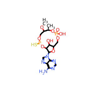 COC1COP(S)OC2C(O)C(COP(=O)(O)O[C@@H]1C)OC2n1cnc2c(N)ncnc21